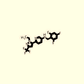 CCn1nc(C(F)(F)F)cc1-c1ccc(NCc2c(F)cc(F)cc2F)cn1